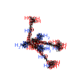 CC(=O)N[C@H]1[C@H](OCCCCC(=O)NCCOCCOCO[C@@H]2[C@H](OP(=O)(O)OC[C@H]3O[C@@H](n4cnc5c(N)ncnc54)[C@H](OCOCCOCCNC(=O)CCCCO[C@H]4C[C@@H](O)[C@@H](O)[C@@H](CO)O4)[C@@H]3OC(C)C)[C@@H](COP(=O)(O)[C@@]3(C)[C@@H](C4CC4)O[C@@H](n4cnc5c(N)ncnc54)[C@@H]3OCOCCOCCNC(=O)CCCCO[C@@H]3O[C@H](CO)[C@H](O)[C@H](O)[C@H]3NC(C)=O)O[C@H]2n2cnc3c(N)ncnc32)O[C@H](CO)[C@H](O)[C@@H]1O